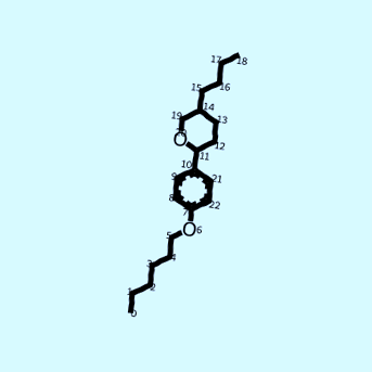 CCCCCCOc1ccc(C2CCC(CCCC)CO2)cc1